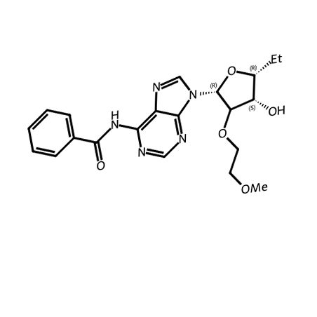 CC[C@H]1O[C@@H](n2cnc3c(NC(=O)c4ccccc4)ncnc32)C(OCCOC)[C@H]1O